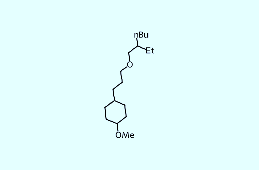 CCCCC(CC)COCCCC1CCC(OC)CC1